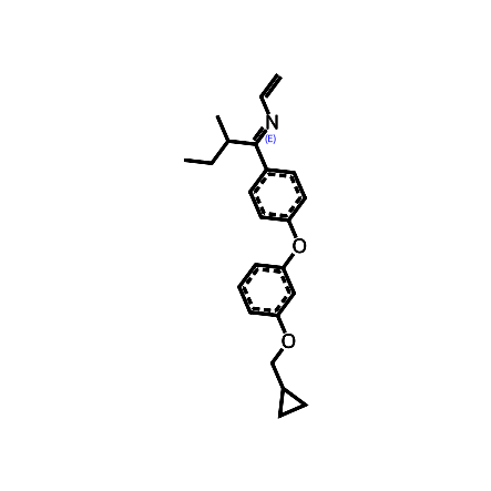 C=C/N=C(/c1ccc(Oc2cccc(OCC3CC3)c2)cc1)C(C)CC